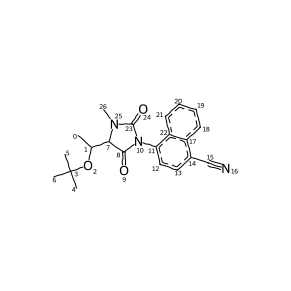 CC(OC(C)(C)C)C1C(=O)N(c2ccc(C#N)c3ccccc23)C(=O)N1C